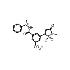 C[C@@H](NC(=O)c1cc(C(=O)O)cc(C2=CC(=O)N(C)S2(=O)=O)c1)c1ccccc1